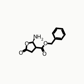 N[C@@H]1OC(=O)CC1C(=O)OCc1ccccc1